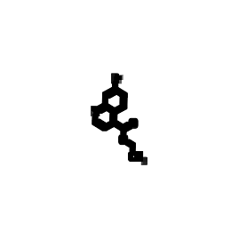 CCOC(=O)c1ccnc2cc(Br)ccc12